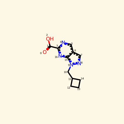 O=C(O)c1ncc2cnn(CC3CCC3)c2n1